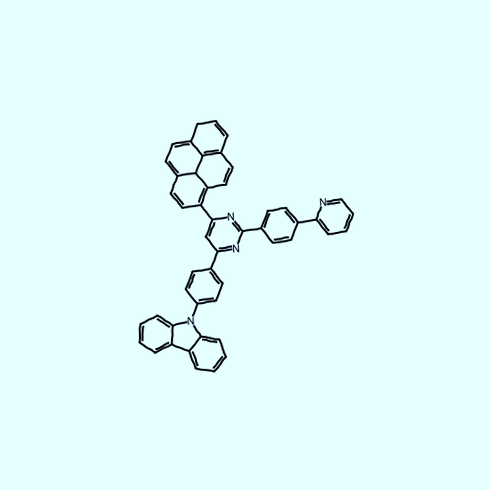 C1=CC2=C3C(=CC=C4C=CC(c5cc(-c6ccc(-n7c8ccccc8c8ccccc87)cc6)nc(-c6ccc(-c7ccccn7)cc6)n5)=C(C=C2)C43)C1